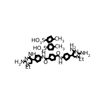 CCN1CC(c2ccc(NC(=O)c3ccc(C(=O)Nc4ccc(C5=C(N)N=C(N)N(CC)C5)cc4)cc3)cc2)=C(N)N=C1N.Cc1ccc(S(=O)(=O)O)cc1.Cc1ccc(S(=O)(=O)O)cc1